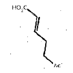 CC(=O)CCC=CC(=O)O